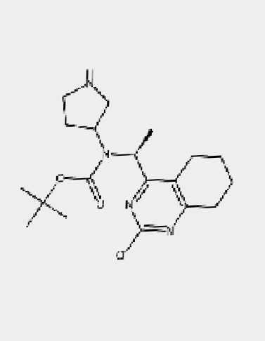 C[C@@H](c1nc(Cl)nc2c1CCCC2)N(C(=O)OC(C)(C)C)C1CCNC1